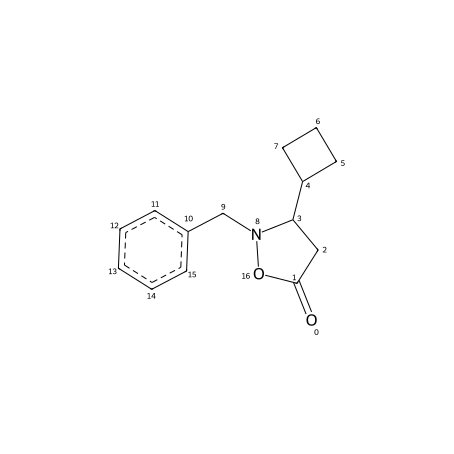 O=C1CC(C2CCC2)N(Cc2ccccc2)O1